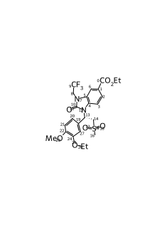 CCOC(=O)c1ccc2c(c1)n(CC(F)(F)F)c(=O)n2[C@H](CS(C)(=O)=O)c1ccc(OC)c(OCC)c1